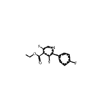 CCOC(=O)c1c(F)cnc(-c2ccc(F)cc2)c1F